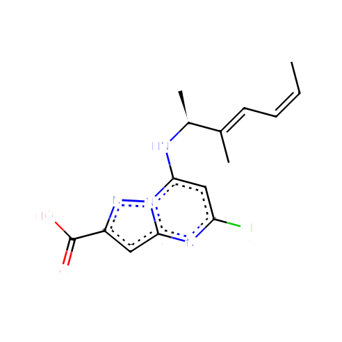 C/C=C\C=C(/C)[C@H](C)Nc1cc(Cl)nc2cc(C(=O)O)nn12